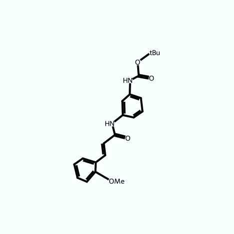 COc1ccccc1/C=C/C(=O)Nc1cccc(NC(=O)OC(C)(C)C)c1